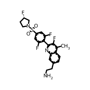 Cc1c(F)c(-c2c(F)cc(S(=O)(=O)N3CC[C@H](F)C3)cc2F)nc2cc(CCN)ccc12